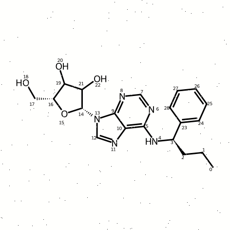 CCC[C@@H](Nc1ncnc2c1ncn2[C@@H]1O[C@H](CO)C(O)C1O)c1ccccc1